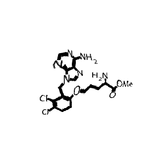 COC(=O)[C@H](N)CCCOc1ccc(Cl)c(Cl)c1Cn1cnc2c(N)ncnc21